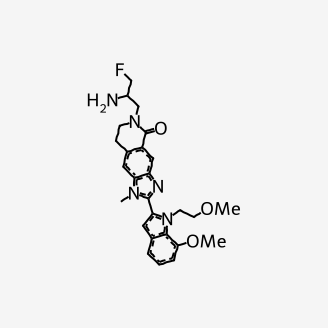 COCCn1c(-c2nc3cc4c(cc3n2C)CCN(CC(N)CF)C4=O)cc2cccc(OC)c21